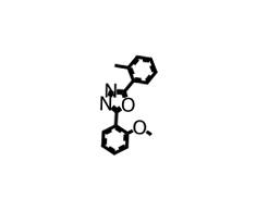 COc1ccccc1-c1nnc(-c2ccccc2C)o1